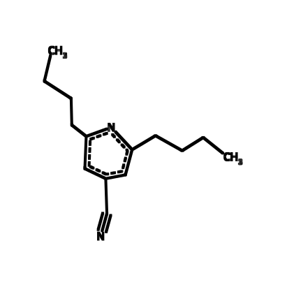 CCCCc1cc(C#N)cc(CCCC)n1